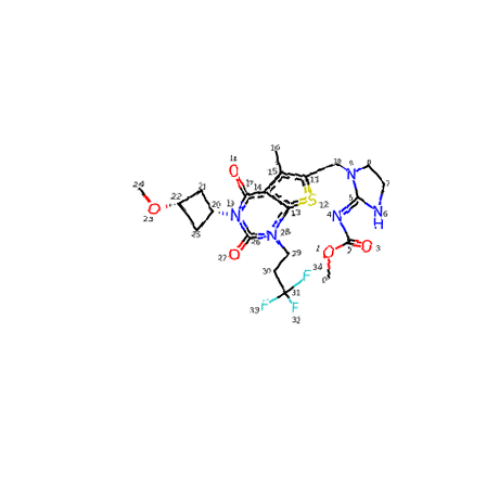 COC(=O)/N=C1\NCCN1Cc1sc2c(c1C)c(=O)n([C@H]1C[C@@H](OC)C1)c(=O)n2CCC(F)(F)F